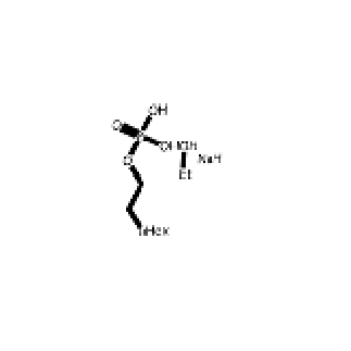 CCCCCCCCOP(=O)(O)O.CCO.[NaH]